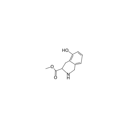 COC(=O)C1Cc2c(O)cccc2CN1